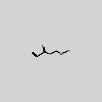 C=CC(=O)O[CH]OCC